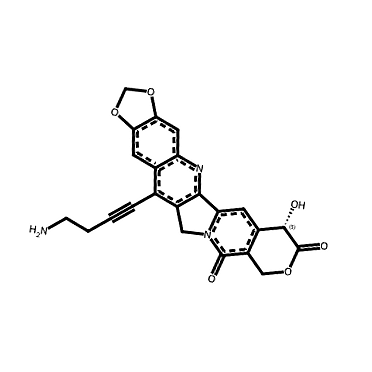 NCCC#Cc1c2c(nc3cc4c(cc13)OCO4)-c1cc3c(c(=O)n1C2)COC(=O)[C@H]3O